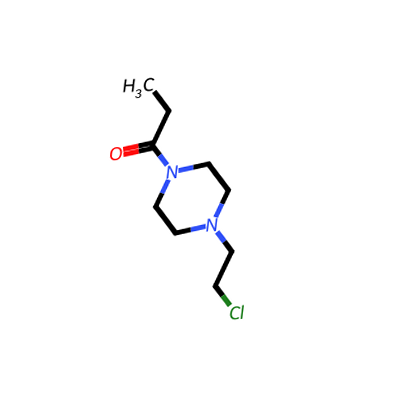 CCC(=O)N1CCN(CCCl)CC1